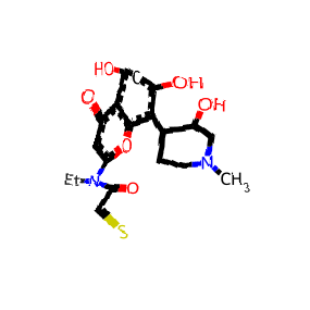 CCN(C(=O)C=S)c1cc(=O)c2c(O)cc(O)c(C3CCN(C)CC3O)c2o1